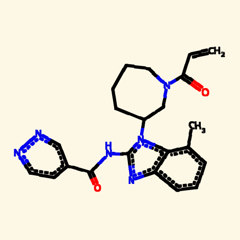 C=CC(=O)N1CCCCC(n2c(NC(=O)c3ccnnc3)nc3cccc(C)c32)C1